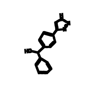 OC(c1ccccc1)c1ccc(-c2c[nH]nn2)cc1